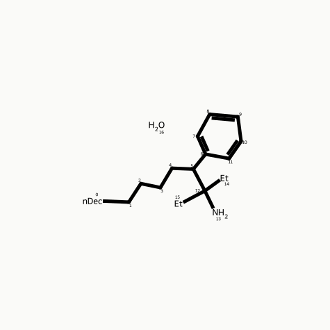 CCCCCCCCCCCCCCC(c1ccccc1)C(N)(CC)CC.O